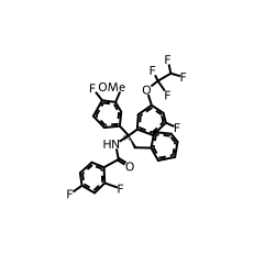 COc1cc([C@@](Cc2ccccc2)(NC(=O)c2ccc(F)cc2F)c2cc(F)cc(OC(F)(F)C(F)F)c2)ccc1F